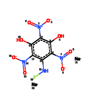 O=[N+]([O-])c1c(O)c([N+](=O)[O-])c(NF)c([N+](=O)[O-])c1O.[Na].[Na]